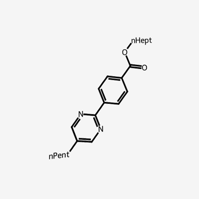 CCCCCCCOC(=O)c1ccc(-c2ncc(CCCCC)cn2)cc1